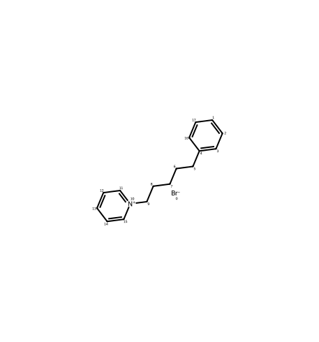 [Br-].c1ccc(CCCCC[n+]2ccccc2)cc1